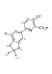 O=C(O)c1nc(-c2cc(F)c3c(c2)OC(F)(F)O3)ccc1Cl